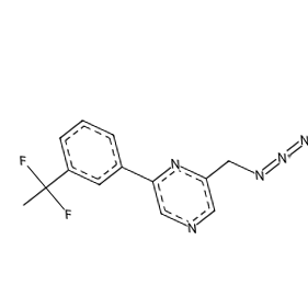 CC(F)(F)c1cccc(-c2cncc(CN=[N+]=[N-])n2)c1